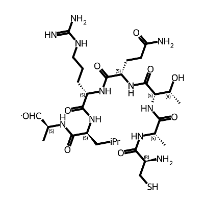 CC(C)C[C@H](NC(=O)[C@H](CCCNC(=N)N)NC(=O)[C@H](CCC(N)=O)NC(=O)[C@@H](NC(=O)[C@H](C)NC(=O)[C@@H](N)CS)[C@@H](C)O)C(=O)N[C@@H](C)[C]=O